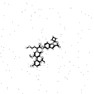 COCCC(C(=O)Nc1ccc2c(c1)cc1n2C2(CCC2)OC1=O)n1cc(OC)c(-c2cc(Cl)ccc2C(C)=O)cc1=O